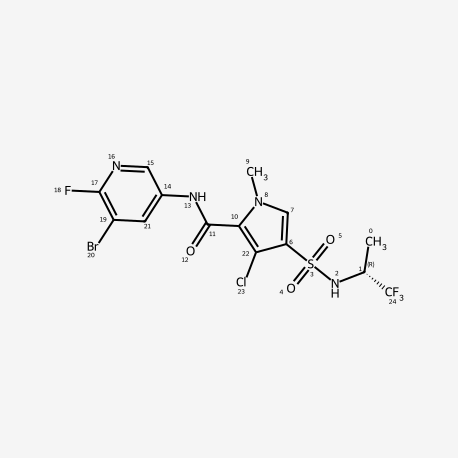 C[C@@H](NS(=O)(=O)c1cn(C)c(C(=O)Nc2cnc(F)c(Br)c2)c1Cl)C(F)(F)F